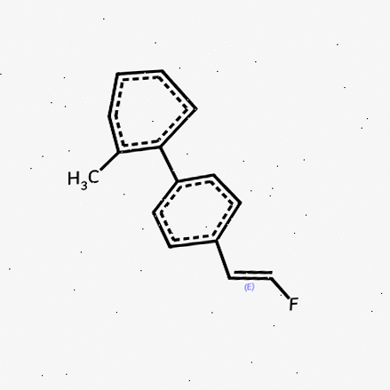 Cc1ccccc1-c1ccc(/C=C/F)cc1